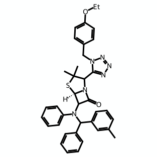 CCOc1ccc(Cn2nnnc2C2N3C(=O)C(N(c4ccccc4)C(c4ccccc4)c4cccc(C)c4)[C@H]3SC2(C)C)cc1